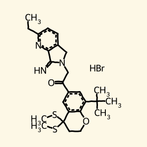 Br.CCc1ccc2c(n1)C(=N)N(CC(=O)c1cc(C(C)(C)C)c3c(c1)C(SC)(SC)CCO3)C2